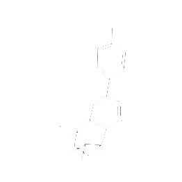 CC1(C)[C@H]2CC[C@]1(C)c1nnc(-c3ccc(F)cc3)cc12